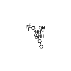 O=C(O)CC[C@H](NC(=O)c1ccc(-c2ccccc2)cc1)C(=O)NCc1cccc(C(F)(F)F)c1